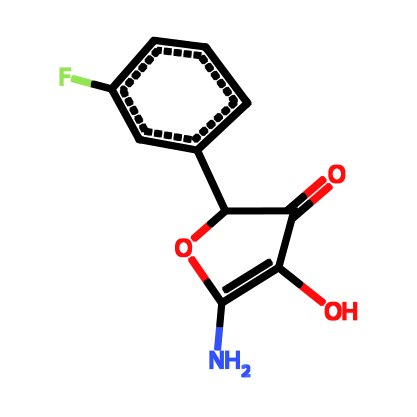 NC1=C(O)C(=O)C(c2cccc(F)c2)O1